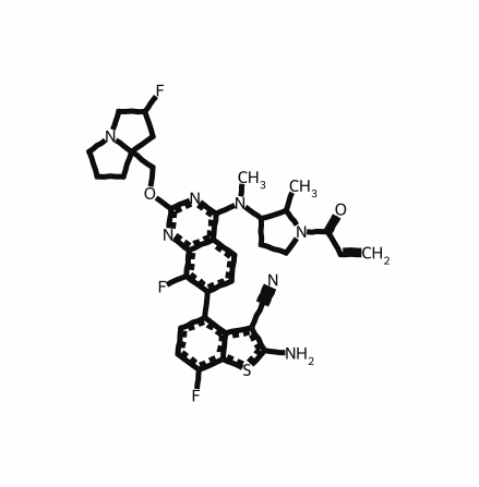 C=CC(=O)N1CCC(N(C)c2nc(OCC34CCCN3CC(F)C4)nc3c(F)c(-c4ccc(F)c5sc(N)c(C#N)c45)ccc23)C1C